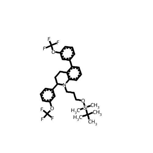 CC(C)(C)[Si](C)(C)OCCCN1c2cccc(-c3cccc(OC(F)(F)F)c3)c2CCC1c1cccc(OC(F)(F)F)c1